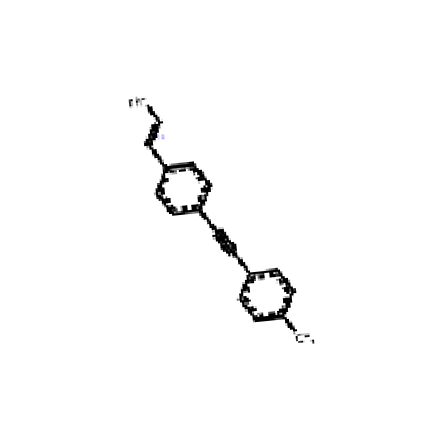 CCC/C=C/c1ccc(C#Cc2ccc(C(F)(F)F)cc2)cc1